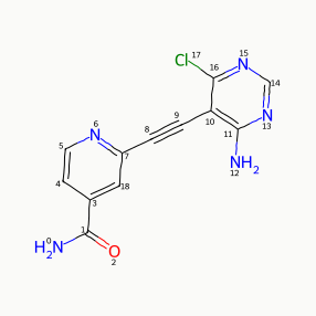 NC(=O)c1ccnc(C#Cc2c(N)ncnc2Cl)c1